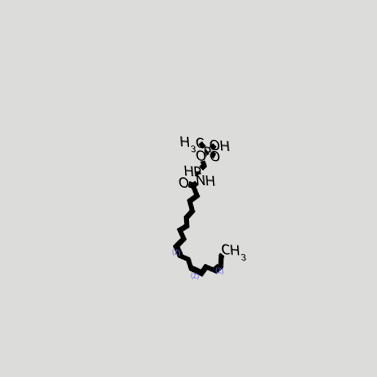 CC/C=C\C/C=C\C/C=C\CCCCCCCC(=O)NPCOP(C)(=O)O